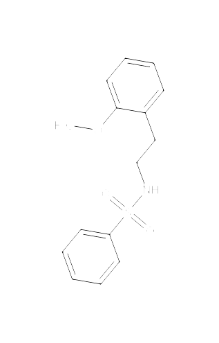 O=S(=O)(NCCc1ccccc1OC(F)(F)F)c1ccccc1